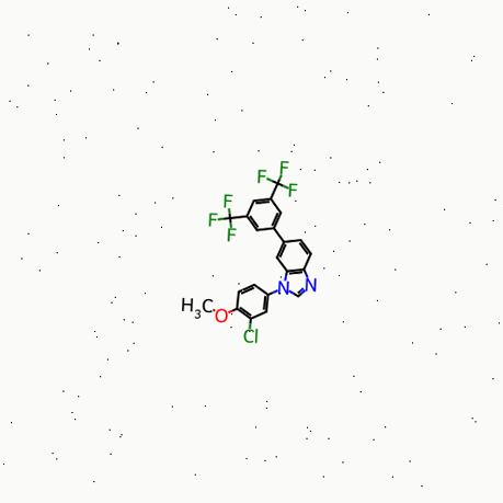 COc1ccc(-n2cnc3ccc(-c4cc(C(F)(F)F)cc(C(F)(F)F)c4)cc32)cc1Cl